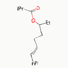 CCCC=CCCC(CC)OC(=O)C(C)C